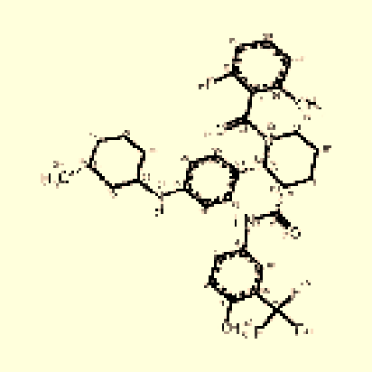 Cc1ccc(NC(=O)[C@H]2CCCN(C(=O)c3c(C)cccc3F)[C@H]2c2ccc(NC3CCC[C@@H](C)C3)cc2)cc1C(F)(F)F